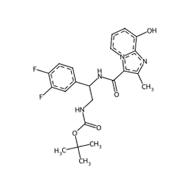 Cc1nc2c(O)cccn2c1C(=O)NC(CNC(=O)OC(C)(C)C)c1ccc(F)c(F)c1